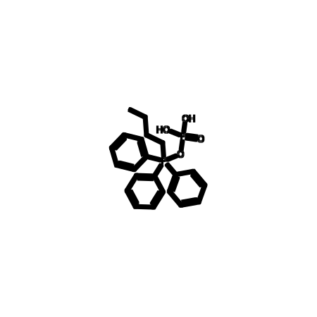 CCCCP(OP(=O)(O)O)(c1ccccc1)(c1ccccc1)c1ccccc1